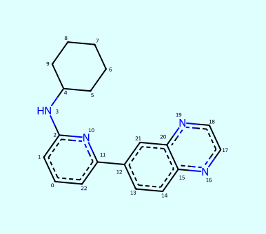 c1cc(NC2CCCCC2)nc(-c2ccc3nccnc3c2)c1